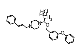 CC(OCc1cccc(Oc2ccccc2)c1)N1CCN(CC=Cc2ccccc2)CC1.Cl.Cl